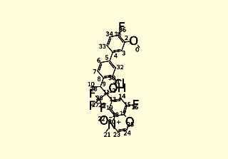 COc1cc(-c2ccc(C(C)C(O)(c3cc(F)c4c(c3)[N+](C)([O-])C=CO4)C(F)(F)F)c(Cl)c2)ccc1F